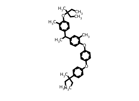 CCC(C)(CC)Oc1ccc(C(C)c2ccc(Oc3ccc(Oc4ccc(C(C)(CC)CC)cc4)cc3)c(C)c2)cc1C